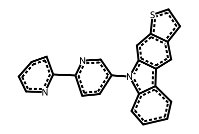 c1ccc(-c2ccc(-n3c4ccccc4c4cc5ccsc5cc43)cn2)nc1